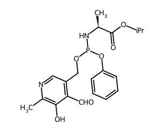 Cc1ncc(COP(N[C@@H](C)C(=O)OC(C)C)Oc2ccccc2)c(C=O)c1O